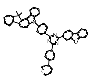 CC1(C)c2ccccc2-c2ccc3c(c21)c1ccccc1n3-c1ccc(-c2nc(-c3ccc(-c4ccccc4)cc3)nc(-c3ccc4c(c3)oc3ccccc34)n2)cc1